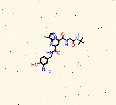 CC(C)(C)NC(=O)CNC(=O)c1cc(C(=O)NCc2ccc(O)c(N)c2)nc2c(F)cnn12